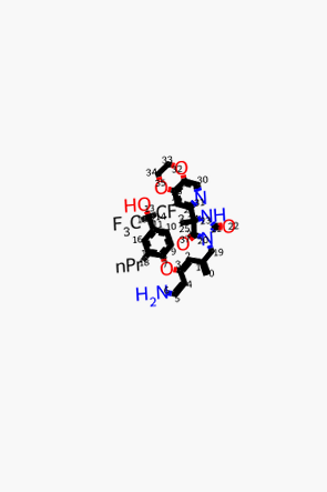 C=C(/C=C(\C=C/N)Oc1ccc(C(O)(C(F)(F)F)C(F)(F)F)cc1CCC)CN1C(=O)NC(C)(c2cc3c(cn2)OCCO3)C1=O